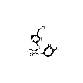 CCc1csc(N=S(C)(=O)Cc2ccc(Cl)nc2)n1